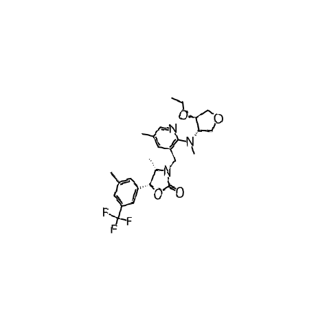 CCO[C@H]1COC[C@@H]1N(C)c1ncc(C)cc1CN1C(=O)O[C@H](c2cc(C)cc(C(F)(F)F)c2)[C@@H]1C